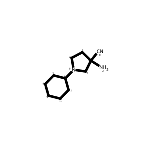 N#CC1(N)CCN(C2CCCCC2)C1